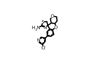 NC1=NC2(CS1)c1cc(-c3cncc(Cl)c3)ccc1OC1CCOCC12